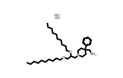 CCCCCCCCCCOCC(CN1CCC(CN)(c2ccccc2)CC1)OCCCCCCCCCC.Cl.Cl